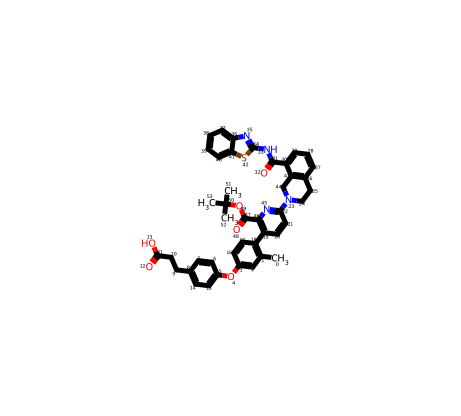 Cc1cc(Oc2ccc(CCC(=O)O)cc2)ccc1-c1ccc(N2CCc3cccc(C(=O)Nc4nc5ccccc5s4)c3C2)nc1C(=O)OC(C)(C)C